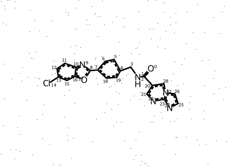 O=C(NCc1ccc(-c2nc3ccc(Cl)cc3o2)cc1)c1cnc2nccn2c1